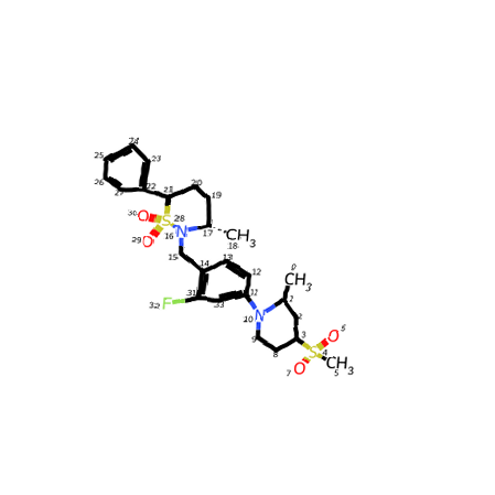 CC1CC(S(C)(=O)=O)CCN1c1ccc(CN2[C@@H](C)CCC(c3ccccc3)S2(=O)=O)c(F)c1